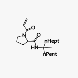 C=CC(=O)N1CCC[C@@H]1C(=O)NC(C)(CCCCC)CCCCCCC